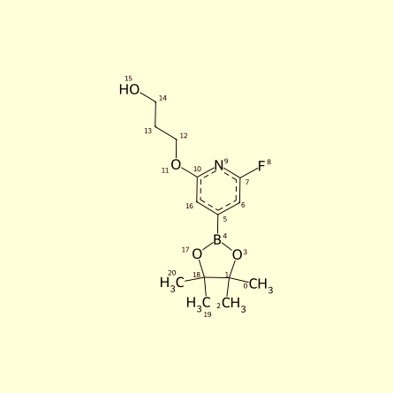 CC1(C)OB(c2cc(F)nc(OCCCO)c2)OC1(C)C